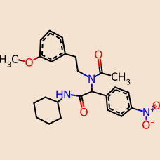 COc1cccc(CCN(C(C)=O)C(C(=O)NC2CCCCC2)c2ccc([N+](=O)[O-])cc2)c1